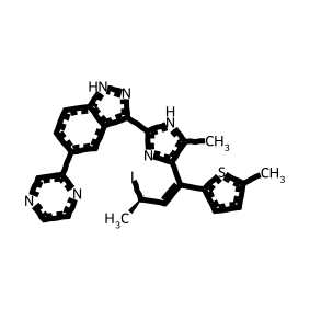 Cc1ccc(/C(=C/[C@@H](C)I)c2nc(-c3n[nH]c4ccc(-c5cnccn5)cc34)[nH]c2C)s1